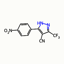 N#Cc1c(C(F)(F)F)n[nH]c1-c1ccc([N+](=O)[O-])cc1